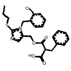 CCCSc1ncc(COC(=O)C(Cc2ccccc2)C(=O)O)n1Cc1ccccc1Cl